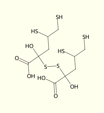 O=C(O)C(O)(CC(S)CS)SSC(O)(CC(S)CS)C(=O)O